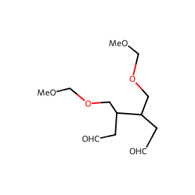 COCOCC(CC=O)C(CC=O)COCOC